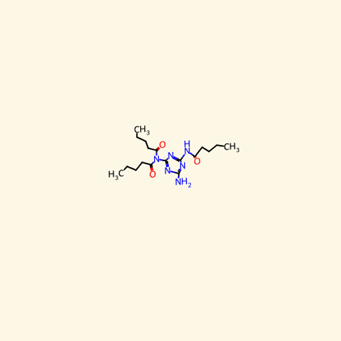 CCCCC(=O)Nc1nc(N)nc(N(C(=O)CCCC)C(=O)CCCC)n1